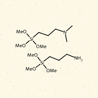 CO[Si](CCCN(C)C)(OC)OC.CO[Si](CCCN)(OC)OC